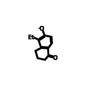 CCc1c([O])ccc2c1CCCC2=O